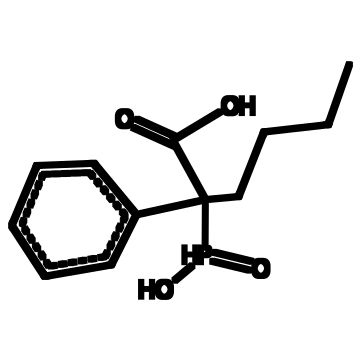 CCCCC(C(=O)O)(c1ccccc1)[PH](=O)O